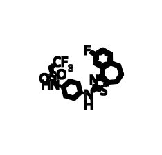 O=S(=O)(CC(F)(F)F)N[C@H]1CC[C@H](Nc2nc3c(s2)CCCc2ccc(F)cc2-3)CC1